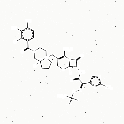 CC(C)(O/N=C(\C(=O)N[C@@H]1C(=O)N2C(C(=O)O)=C(C[N+]34CCC[C@@H]3CN(C(=O)c3ccc(O)c(O)c3Cl)CC4)CS[C@H]12)c1csc(N)n1)C(=O)O